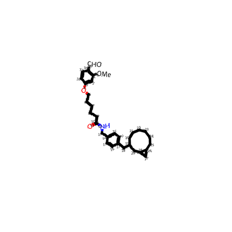 COc1cc(OCCCCCC(=O)NCc2ccc(CC3CCCCCCC4CC4C3)cc2)ccc1C=O